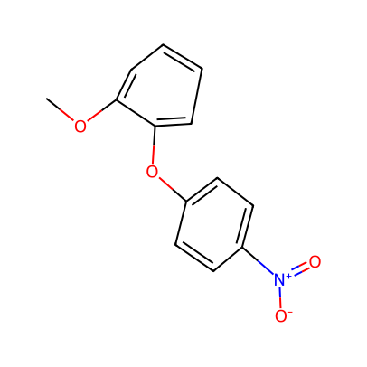 COc1ccccc1Oc1ccc([N+](=O)[O-])cc1